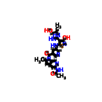 CC(=O)Nc1cc2cc(C)n(C(=O)c3cncc(Nc4snc(O)c4C(=N)NC(C)CO)c3)c2cn1